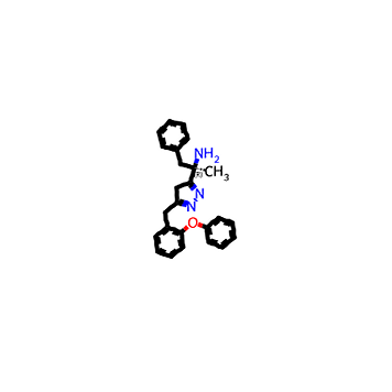 C[C@@](N)(Cc1ccccc1)C1=NN=C(Cc2ccccc2Oc2ccccc2)C1